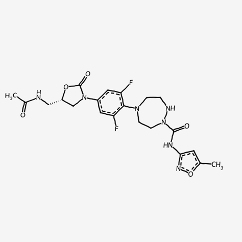 CC(=O)NC[C@H]1CN(c2cc(F)c(N3CCNN(C(=O)Nc4cc(C)on4)CC3)c(F)c2)C(=O)O1